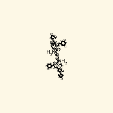 N[C@@H](CSSC[C@H](N)C(=O)N1CCn2nc(-c3cccs3)cc2C1CCc1ccccc1)C(=O)N1CCn2nc(-c3cccs3)cc2C1CCc1ccccc1